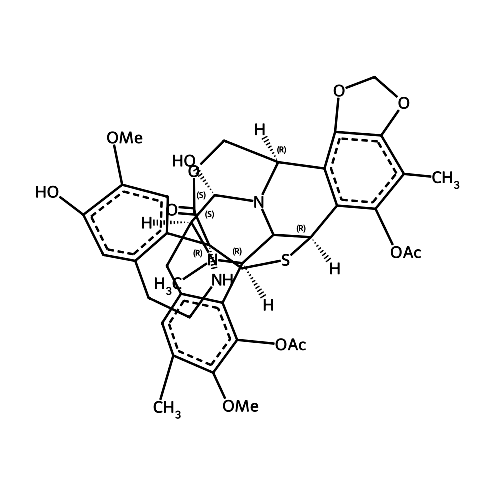 COc1cc2c(cc1O)CCN[C@]21CS[C@@H]2c3c(OC(C)=O)c(C)c4c(c3[C@H](COC1=O)N1C2[C@H]2c3c(cc(C)c(OC)c3OC(C)=O)C[C@@H]([C@@H]1O)N2C)OCO4